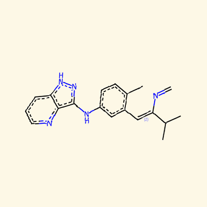 C=N/C(=C\c1cc(Nc2n[nH]c3cccnc23)ccc1C)C(C)C